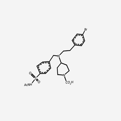 CC(=O)NS(=O)(=O)c1ccc(CN(CCc2ccc(Br)cc2)C2CCN(C(=O)O)CC2)cc1